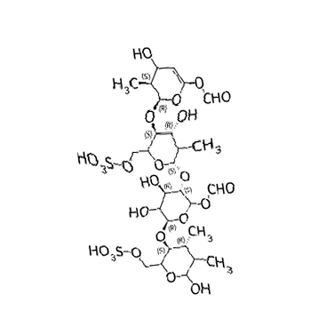 CC1C(O)OC(COS(=O)(=O)O)[C@@H](O[C@@H]2OC(OC=O)[C@@H](O[C@@H]3OC(COS(=O)(=O)O)[C@@H](O[C@@H]4OC(OC=O)=CC(O)[C@@H]4C)[C@H](O)C3C)[C@H](O)C2O)[C@@H]1C